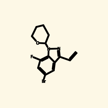 C=Cc1nn(C2CCCCO2)c2c(F)cc(Br)cc12